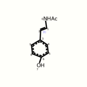 CC(=O)N/C=C/c1ccc(O)cc1